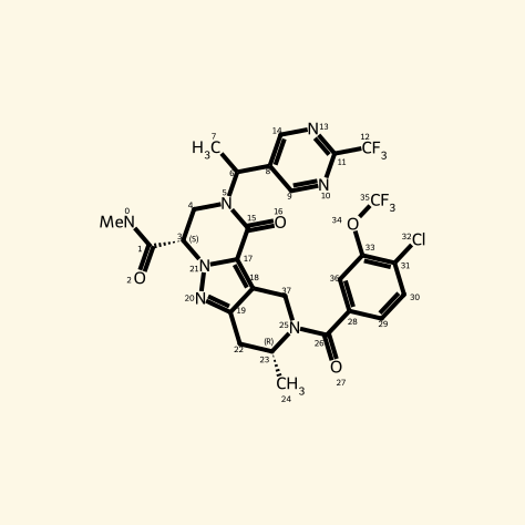 CNC(=O)[C@@H]1CN(C(C)c2cnc(C(F)(F)F)nc2)C(=O)c2c3c(nn21)C[C@@H](C)N(C(=O)c1ccc(Cl)c(OC(F)(F)F)c1)C3